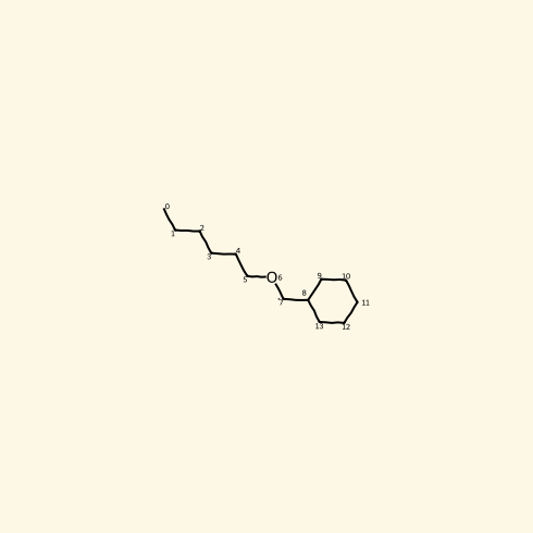 CCCCCCO[CH]C1CCCCC1